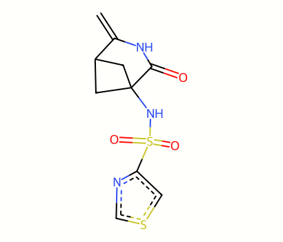 C=C1NC(=O)C2(NS(=O)(=O)c3cscn3)CC1C2